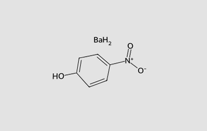 O=[N+]([O-])c1ccc(O)cc1.[BaH2]